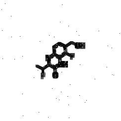 CC(F)c1nc2ccc(CO)c(F)c2[nH]c1=O